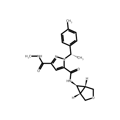 CNC(=O)c1cc(C(=O)N[C@H]2[C@@H]3COC[C@@H]32)n([C@@H](C)c2ccc(C)cc2)n1